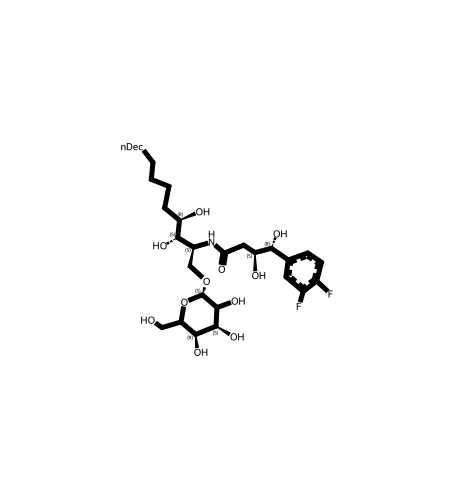 CCCCCCCCCCCCCC[C@@H](O)[C@@H](O)[C@H](CO[C@H]1OC(CO)[C@H](O)[C@H](O)C1O)NC(=O)C[C@H](O)[C@H](O)c1ccc(F)c(F)c1